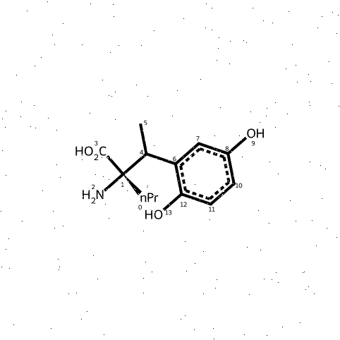 CCC[C@@](N)(C(=O)O)C(C)c1cc(O)ccc1O